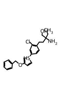 CCC(N)(CO)CCc1ccc([SH]2C=CC(OCc3ccccc3)=C2)cc1Cl